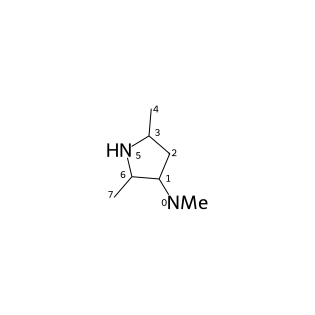 CNC1CC(C)NC1C